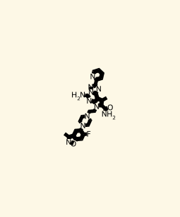 Cc1noc2cc(F)c(N3CCN(CCn4c(C(N)=O)c(C)c5c4nc(N)n4nc(-c6ccccn6)nc54)CC3)cc12